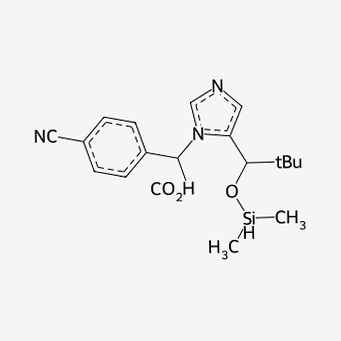 C[SiH](C)OC(c1cncn1C(C(=O)O)c1ccc(C#N)cc1)C(C)(C)C